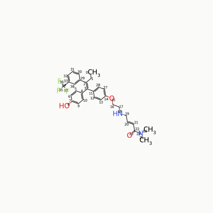 CCC(=C(c1ccc(O)cc1)c1ccc(OCCNCC=CC(=O)N(C)C)cc1)c1cccc(C(F)(F)F)c1